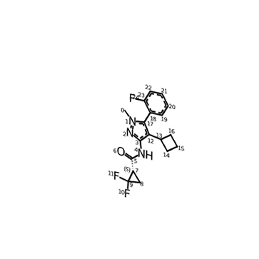 Cn1nc(NC(=O)[C@@H]2CC2(F)F)c(C2CCC2)c1-c1ccccc1F